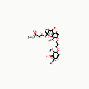 CCCc1c(OCCCOc2ccc3c(c2CCC)OC(C)(CCCC(=O)OC)CC3=O)ccc(C(C)=O)c1O